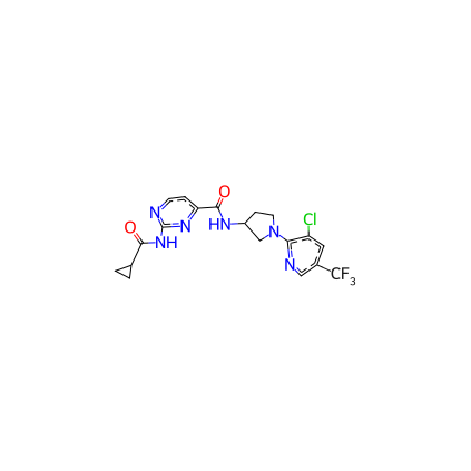 O=C(NC1CCN(c2ncc(C(F)(F)F)cc2Cl)C1)c1ccnc(NC(=O)C2CC2)n1